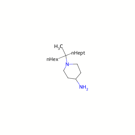 CCCCCCCC(C)(CCCCCC)N1CCC(N)CC1